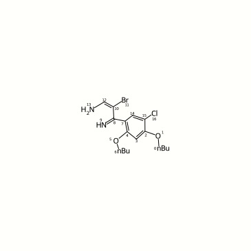 CCCCOc1cc(OCCCC)c(C(=N)/C(Br)=C\N)cc1Cl